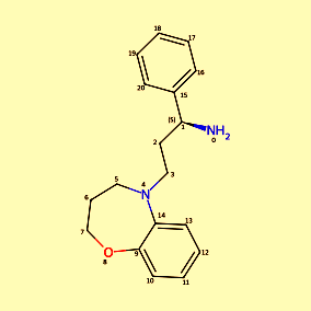 N[C@@H](CCN1CCCOc2ccccc21)c1ccccc1